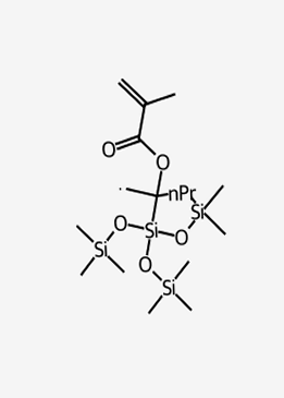 [CH2]C(CCC)(OC(=O)C(=C)C)[Si](O[Si](C)(C)C)(O[Si](C)(C)C)O[Si](C)(C)C